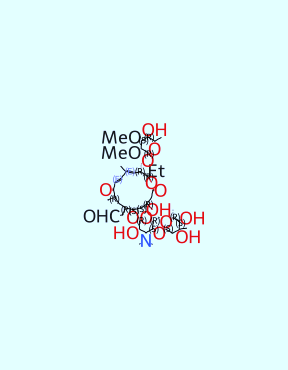 CC[C@H]1OC(=O)C[C@@H](O)[C@H](C)[C@@H](O[C@@H]2O[C@H](C)[C@@H](O[C@H]3CC(C)(O)[C@@H](O)[C@@H](C)O3)C(N(C)C)C2O)[C@@H](CC=O)C[C@@H](C)C(=O)/C=C/C(C)=C/[C@@H]1CO[C@@H]1OC(C)[C@@H](O)[C@H](OC)C1OC